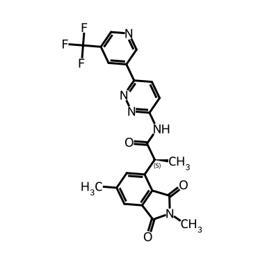 Cc1cc2c(c([C@H](C)C(=O)Nc3ccc(-c4cncc(C(F)(F)F)c4)nn3)c1)C(=O)N(C)C2=O